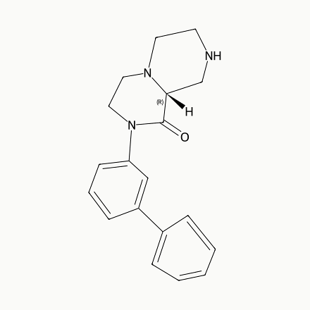 O=C1[C@H]2CNCCN2CCN1c1cccc(-c2ccccc2)c1